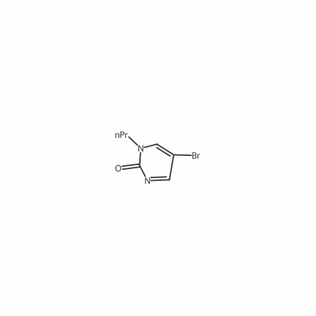 CCCn1cc(Br)cnc1=O